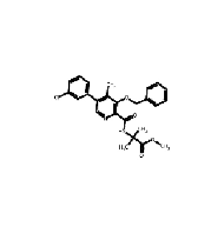 COC(=O)C(C)(C)NC(=O)c1ncc(-c2cccc(Cl)c2)c(C)c1OCc1ccccc1